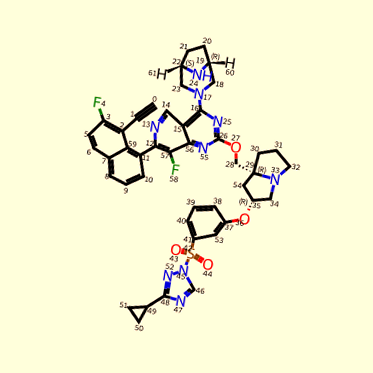 C#Cc1c(F)ccc2cccc(-c3ncc4c(N5C[C@H]6CC[C@@H](C5)N6)nc(OC[C@]56CCCN5C[C@H](Oc5cccc(S(=O)(=O)n7cnc(C8CC8)n7)c5)C6)nc4c3F)c12